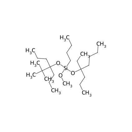 CCCCC(CC)(CCC)O[Si](CCCC)(OC)OC(CCC)(CCC)C(C)(C)C